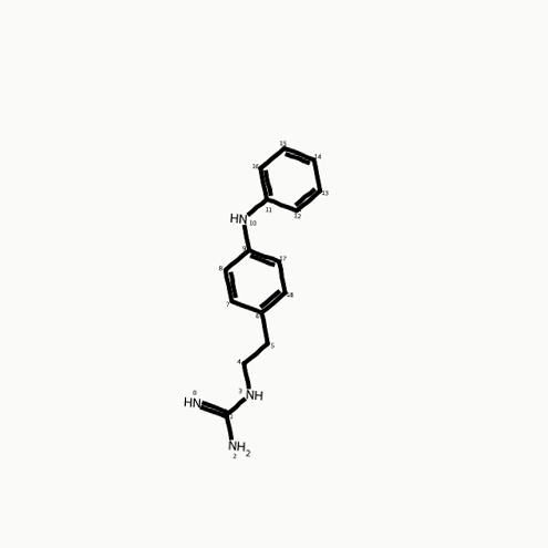 N=C(N)NCCc1ccc(Nc2[c]cccc2)cc1